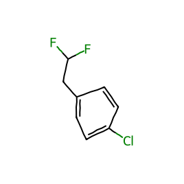 FC(F)Cc1ccc(Cl)cc1